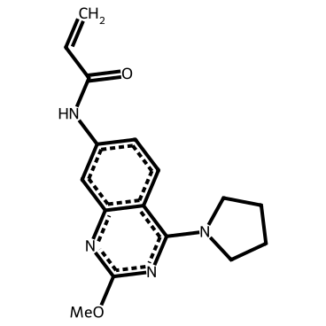 C=CC(=O)Nc1ccc2c(N3CCCC3)nc(OC)nc2c1